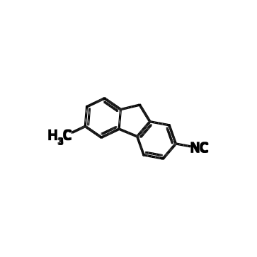 [C-]#[N+]c1ccc2c(c1)Cc1ccc(C)cc1-2